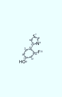 Oc1c[c]c(-c2cscn2)c(F)c1